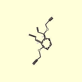 C#CCO/C(C=C)=c1\cccc(OCC#C)\c1=C\C=C